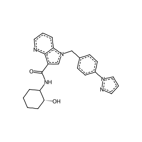 O=C(NC1CCCC[C@H]1O)c1cn(Cc2ccc(-n3cccn3)cc2)c2cccnc12